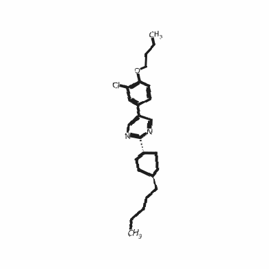 CCCCC[C@H]1CC[C@H](c2ncc(-c3ccc(OCCCC)c(Cl)c3)cn2)CC1